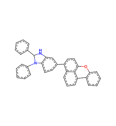 c1ccc(C2Nc3cc(-c4ccc5c6c(cccc46)-c4ccccc4O5)ccc3N2c2ccccc2)cc1